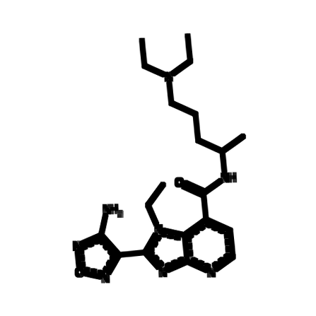 CCN(CC)CCCC(C)NC(=O)c1ccnc2nc(-c3nonc3N)n(CC)c12